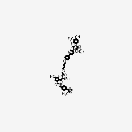 Cc1ncsc1-c1ccc(CNC(=O)[C@@H]2C[C@@H](O)CC2C(=O)[C@@H](NC(=O)COCCCCOc2ccc(-c3ccc(N4C(=S)N(c5ccc(C#N)c(C(F)(F)F)c5F)C(=O)C4(C)C)cn3)cc2)C(C)(C)C)cc1